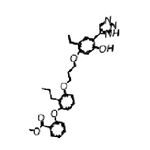 CCCc1c(OCCCOc2cc(O)c(-c3cnn[nH]3)cc2CC)cccc1Oc1ccccc1C(=O)OC